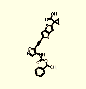 CC(OC(=O)Nc1cnoc1C#Cc1cc2sc(C3(C(=O)O)CC3)cc2s1)c1ccccc1